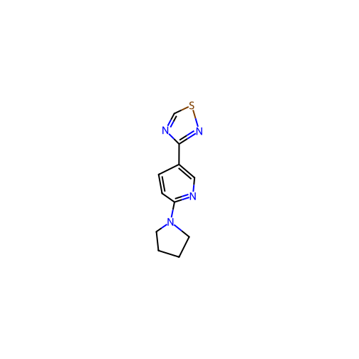 c1nc(-c2ccc(N3CCCC3)nc2)ns1